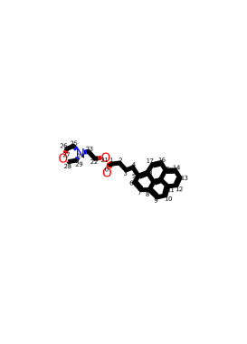 O=C(CCCc1ccc2ccc3cccc4ccc1c2c34)OCCN1CCOCC1